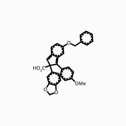 COc1ccc(C2=c3cc(OCc4ccccc4)ccc3=CC2(C(=O)O)c2ccc3c(c2)OCO3)cc1